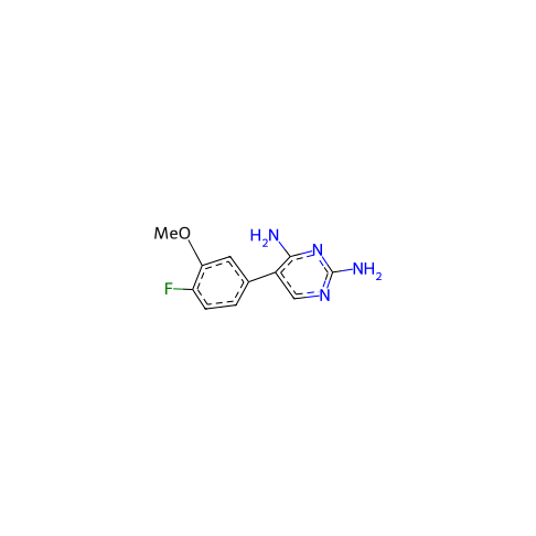 COc1cc(-c2cnc(N)nc2N)ccc1F